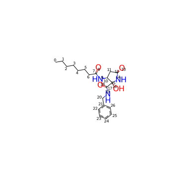 CCCCCCCC(=O)N[C@H]1CC(=O)NC1(O)C(=O)NCc1ccccc1